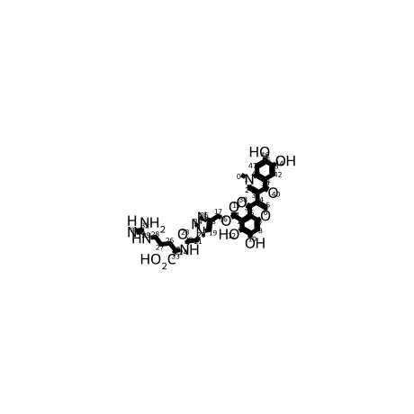 Cn1cc(-c2coc3cc(O)c(O)c(C(=O)OCc4cn(CC(=O)NC(CCCNC(=N)N)C(=O)O)nn4)c3c2=O)c(=O)c2cc(O)c(O)cc21